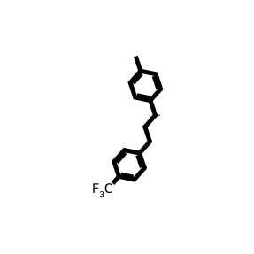 Cc1ccc([CH]CCc2ccc(C(F)(F)F)cc2)cc1